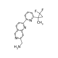 CC1(c2cccc(-c3ccc4cnc(CN)cc4n3)n2)CC1(F)F